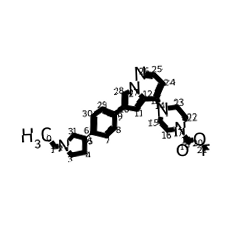 CCN1CC[C@@H](c2ccc(-c3cc4c(N5CCN(C(=O)OF)CC5)ccnn4c3)cc2)C1